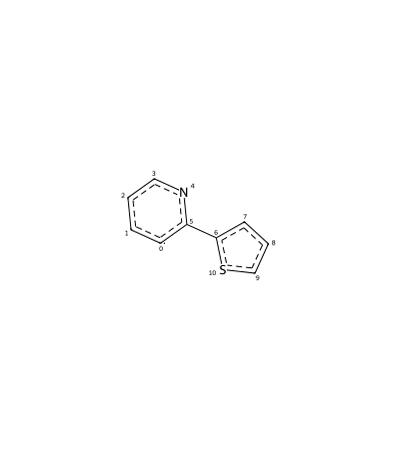 [c]1cccnc1-c1cccs1